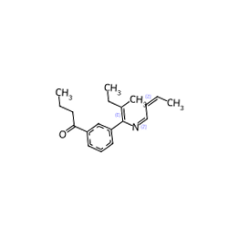 C\C=C/C=N\C(=C(/C)CC)c1cccc(C(=O)CCC)c1